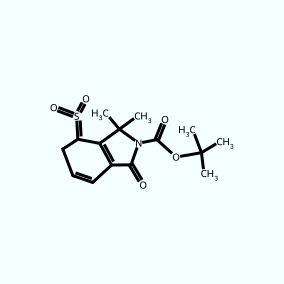 CC(C)(C)OC(=O)N1C(=O)C2=C(C(=S(=O)=O)CC=C2)C1(C)C